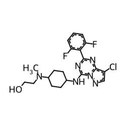 CN(CCO)C1CCC(Nc2nc(-c3c(F)cccc3F)nc3c(Cl)cnn23)CC1